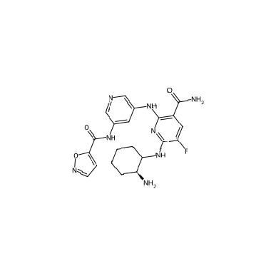 NC(=O)c1cc(F)c(NC2CCCC[C@@H]2N)nc1Nc1cncc(NC(=O)c2ccno2)c1